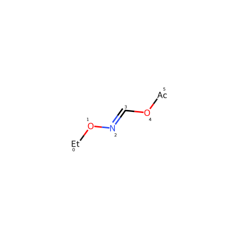 CCON=COC(C)=O